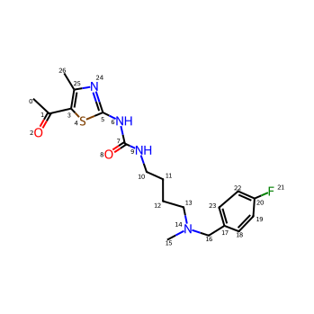 CC(=O)c1sc(NC(=O)NCCCCN(C)Cc2ccc(F)cc2)nc1C